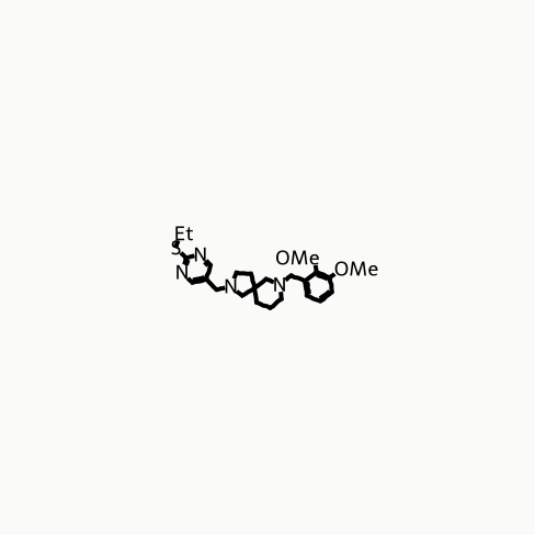 CCSc1ncc(CN2CCC3(CCCN(Cc4cccc(OC)c4OC)C3)C2)cn1